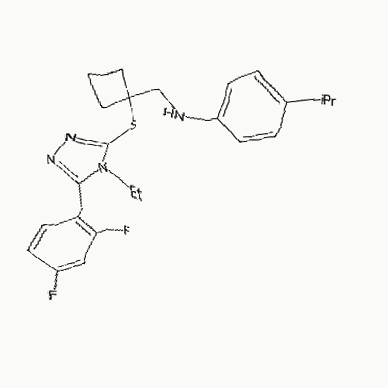 CCn1c(SC2(CNc3ccc(C(C)C)cc3)CCC2)nnc1-c1ccc(F)cc1F